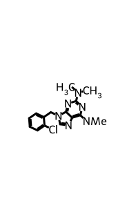 CNc1nc(N(C)C)nc2c1ncn2Cc1ccccc1Cl